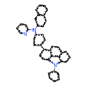 c1ccc(-n2c3cccc4ccc5c(-c6ccc(N(c7ccc8ccccc8c7)c7ccccn7)cc6)ccc2c5c43)cc1